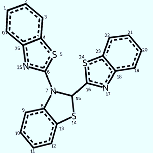 [c]1cccc2sc(N3c4ccccc4SC3c3nc4ccccc4s3)nc12